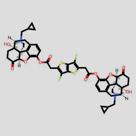 O=C(Cc1sc2c(F)c(CC(=O)Oc3ccc4c5c3O[C@H]3C(=O)CC[C@@]6(O)[C@@H](C4)N(CC4CC4)CC[C@]536)sc2c1F)Oc1ccc2c3c1O[C@H]1C(=O)CC[C@@]4(O)[C@@H](C2)N(CC2CC2)CC[C@]314